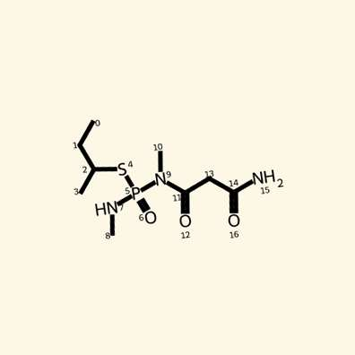 CCC(C)SP(=O)(NC)N(C)C(=O)CC(N)=O